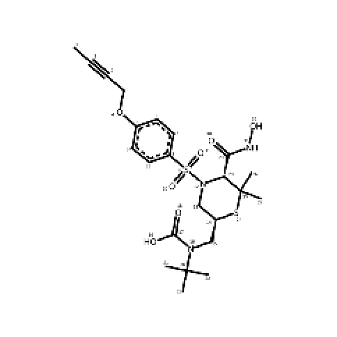 CC#CCOc1ccc(S(=O)(=O)N2C[C@H](CN(C(=O)O)C(C)(C)C)SC(C)(C)[C@@H]2C(=O)NO)cc1